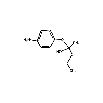 CCOC(C)(O)Oc1ccc(N)cc1